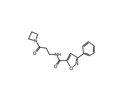 O=C(NCCC(=O)N1CCC1)c1cc(-c2ccccc2)no1